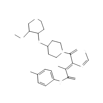 C=C(Nc1ccc(Br)cc1)/C(C)=C(\N=C/N)C(=O)N1CCC(NC2CCOCC2OC)CC1